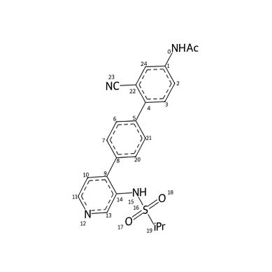 CC(=O)Nc1ccc(-c2ccc(-c3ccncc3NS(=O)(=O)C(C)C)cc2)c(C#N)c1